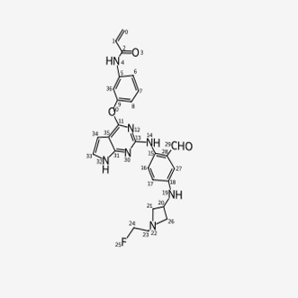 C=CC(=O)Nc1cccc(Oc2nc(Nc3ccc(NC4CN(CCF)C4)cc3C=O)nc3[nH]ccc23)c1